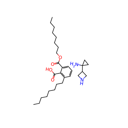 CCCCCCCCOC(=O)c1cccc(CCCCCCCC)c1C(=O)O.NC1(C2CNC2)CC1